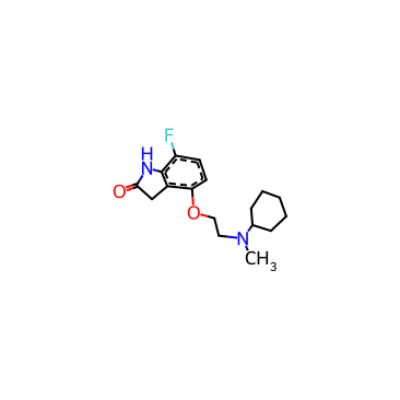 CN(CCOc1ccc(F)c2c1CC(=O)N2)C1CCCCC1